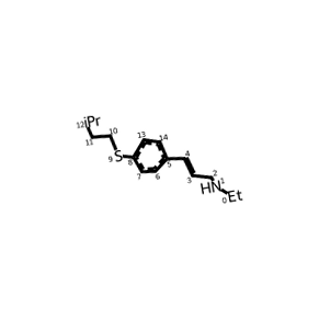 CCNCC=Cc1ccc(SCCC(C)C)cc1